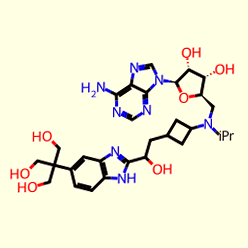 CC(C)N(C[C@H]1O[C@@H](n2cnc3c(N)ncnc32)[C@H](O)[C@@H]1O)C1CC(CC(O)c2nc3cc(C(CO)(CO)CO)ccc3[nH]2)C1